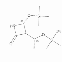 CC(C)[Si](C)(C)O[C@H](C)C1C(=O)N[C@@H]1O[Si](C)(C)C